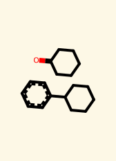 O=C1CCCCC1.c1ccc(C2CCCCC2)cc1